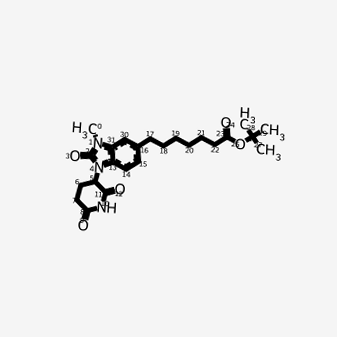 Cn1c(=O)n(C2CCC(=O)NC2=O)c2ccc(CCCCCCC(=O)OC(C)(C)C)cc21